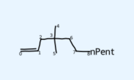 C=CCC(C)(C)CCCCCCC